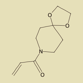 C=CC(=O)N1CCC2(CC1)OCCO2